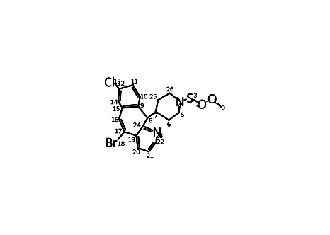 COOSN1CCC(C2c3ccc(Cl)cc3C=C(Br)c3cccnc32)CC1